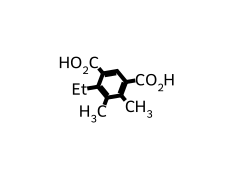 CCc1c(C(=O)O)cc(C(=O)O)c(C)c1C